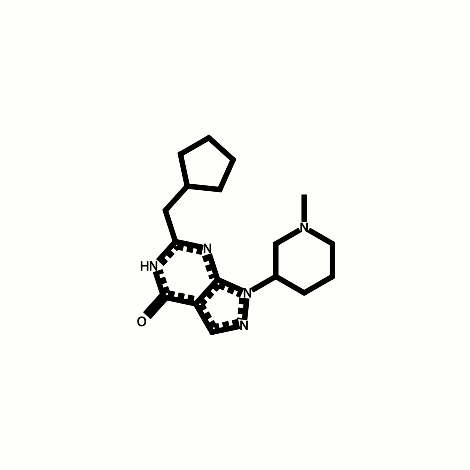 CN1CCCC(n2ncc3c(=O)[nH]c(CC4CCCC4)nc32)C1